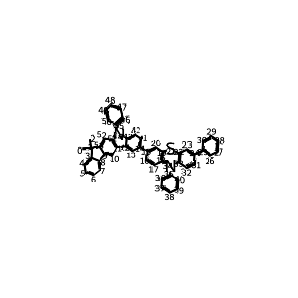 CC1(C)c2ccccc2-c2cc3c4cc(-c5ccc6c(c5)Sc5cc(-c7ccccc7)ccc5N6c5ccccc5)ccc4n(-c4ccccc4)c3cc21